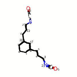 O=C=NCCCC1CCCC(CCCN=C=O)C1